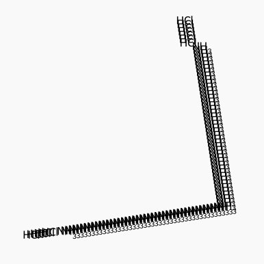 Cl.Cl.Cl.Cl.Cl.Cl.Cl.Cl.Cl.Cl.Cl.Cl.Cl.N.N.N.N.N.N.N.N.N.N.N.N.N.N.N.N.N.N.N.N.N.N.N.N.N.N.N.N.N.N.N.N.N.N.N.N.N.N.N.N.N.N.N.N.N.N.N.N.N.N.N.N.N.N.N.N.N.N.N.N.N.N.N.N.N.N.N.N.N.N.N.N.N.N.N.N.N.N.N.N.N.N.N.N.N.N.N